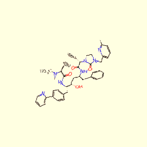 CCC(C)[C@@H](C(=O)N[C@@H](Cc1ccccc1)C[C@H](O)[C@H](Cc1ccc(-c2ccccn2)cc1)NC(=O)[C@@H](N(C)C(=O)O)C(C)(C)C)N1CCN(Cc2cccc(C)n2)C1=O